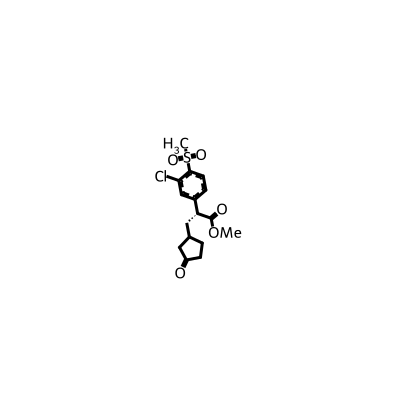 COC(=O)[C@H](CC1CCC(=O)C1)c1ccc(S(C)(=O)=O)c(Cl)c1